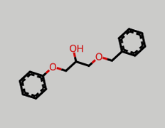 OC(COCc1ccccc1)COc1ccccc1